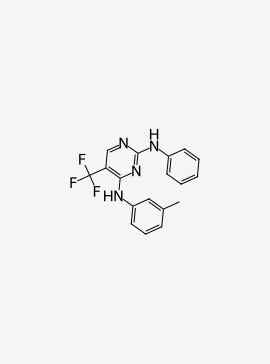 Cc1cccc(Nc2nc(Nc3ccccc3)ncc2C(F)(F)F)c1